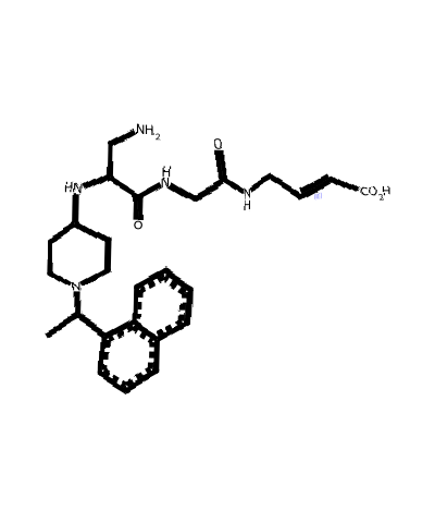 CC(c1cccc2ccccc12)N1CCC(NC(CN)C(=O)NCC(=O)NC/C=C/C(=O)O)CC1